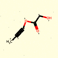 CC#COC(=O)CO